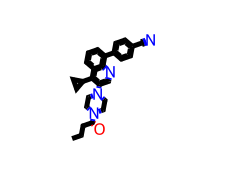 CCCC(=O)N1CCN(c2cnc3c(-c4ccc(C#N)cc4)cccc3c2C2CC2)CC1